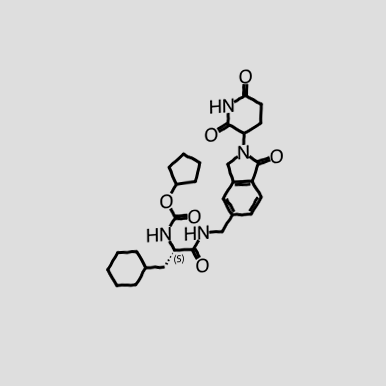 O=C1CCC(N2Cc3cc(CNC(=O)[C@H](CC4CCCCC4)NC(=O)OC4CCCC4)ccc3C2=O)C(=O)N1